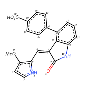 COc1cc[nH]c1/C=C1\C(=O)Nc2cccc(-c3ccc(C(=O)O)cc3)c21